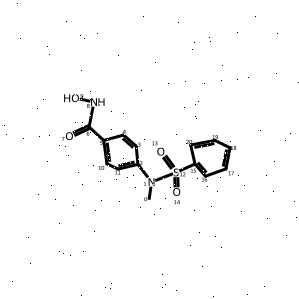 CN(c1ccc(C(=O)NO)cc1)S(=O)(=O)c1ccccc1